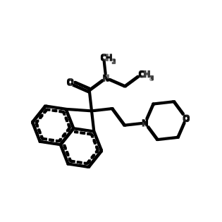 CCN(C)C(=O)C1(CCN2CCOCC2)c2cccc3cccc1c23